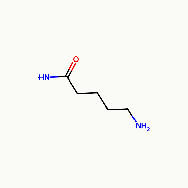 [NH]C(=O)CCCCN